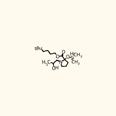 CC(O)CN1CCCC1(O[SiH](C)C)C(=O)OCCCCC(C)(C)C